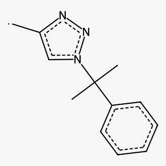 [CH2]c1cn(C(C)(C)c2ccccc2)nn1